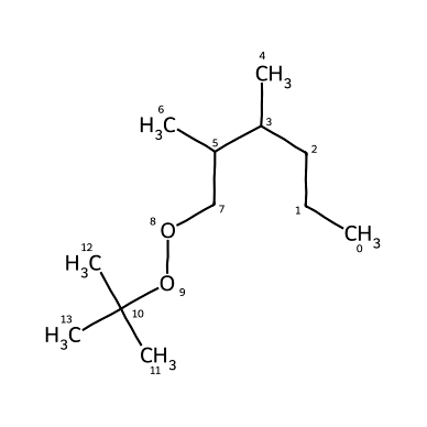 CCCC(C)C(C)COOC(C)(C)C